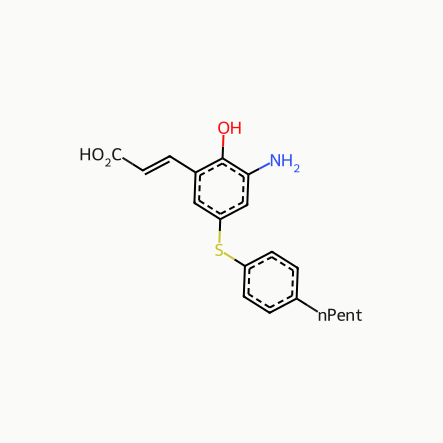 CCCCCc1ccc(Sc2cc(N)c(O)c(C=CC(=O)O)c2)cc1